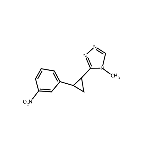 Cn1cnnc1C1CC1c1cccc([N+](=O)[O-])c1